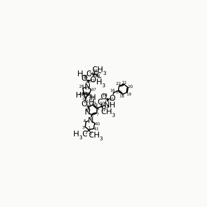 CC1(C)CCN(c2cc(C(C)(C)NC(=O)OCc3ccccc3)cc(OC3[C@H]4CN(C(=O)OC(C)(C)C)C[C@@H]34)n2)CC1